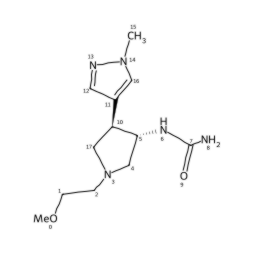 COCCN1C[C@@H](NC(N)=O)[C@H](c2cnn(C)c2)C1